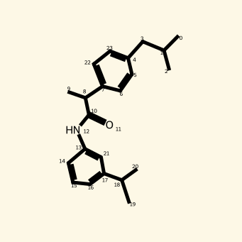 CC(C)Cc1ccc(C(C)C(=O)Nc2cccc(C(C)C)c2)cc1